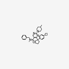 CC1CCN(c2ncc(C(=O)N(C)Cc3ccccc3)c(C3(c4ccc(Cl)cc4)CCCC3)n2)CC1